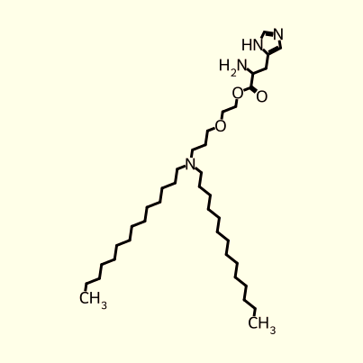 CCCCCCCCCCCCCCN(CCCCCCCCCCCCCC)CCCOCCOC(=O)C(N)Cc1cnc[nH]1